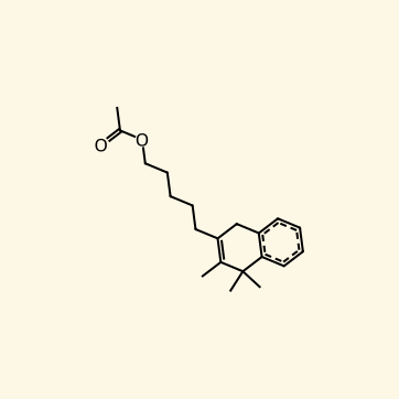 CC(=O)OCCCCCC1=C(C)C(C)(C)c2ccccc2C1